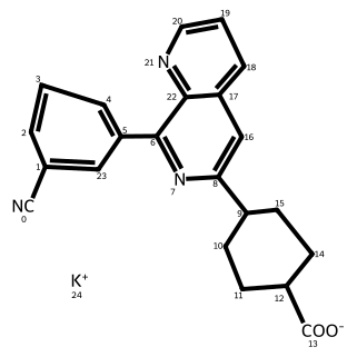 N#Cc1cccc(-c2nc(C3CCC(C(=O)[O-])CC3)cc3cccnc23)c1.[K+]